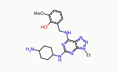 CCn1nnc2c(NCc3cccc(OC)c3O)nc(NC3CCC(N)CC3)nc21